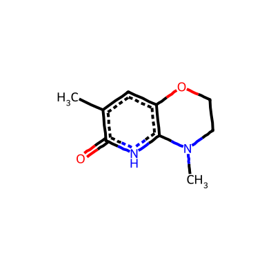 Cc1cc2c([nH]c1=O)N(C)CCO2